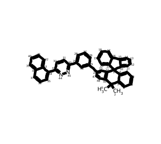 CC1(C)c2ccccc2C2(c3ccccc3-c3ccccc32)c2cc(-c3cccc(-c4ccc(-c5cccc6ccccc56)nn4)c3)ccc21